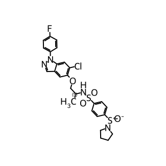 C[C@@H](COc1cc2cnn(-c3ccc(F)cc3)c2cc1Cl)NS(=O)(=O)c1ccc([S+]([O-])N2CCCC2)cc1